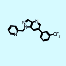 FC(F)(F)c1cccc(-c2cnc3cnn(Cc4ccccn4)c3c2)c1